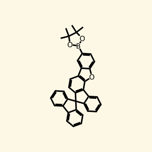 CC1(C)OB(c2ccc3oc4c5c(ccc4c3c2)C2(c3ccccc3-c3ccccc32)c2ccccc2-5)OC1(C)C